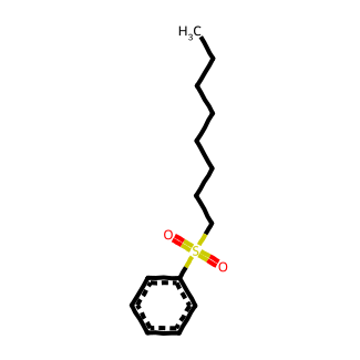 CCCCCCCCS(=O)(=O)c1ccccc1